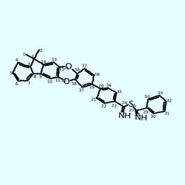 CC1(C)c2ccccc2-c2cc3c(cc21)Oc1ccc(-c2ccc(C(=N)SC(=N)c4ccccc4)cc2)cc1O3